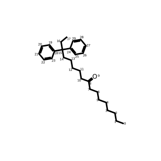 CCCCCCCCC(=O)CCCCCC(CC)(c1ccccc1)c1ccccc1